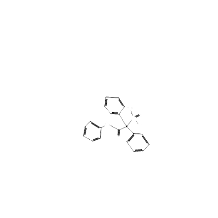 O=C(Oc1ccccc1)C(c1ccccc1)(c1ccccc1)P(=O)(O)O